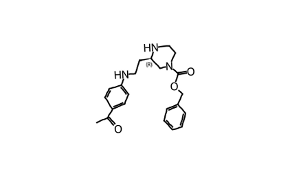 CC(=O)c1ccc(NCC[C@@H]2CN(C(=O)OCc3ccccc3)CCN2)cc1